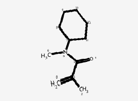 C=C(C)C(=O)N(C)C1CCCCC1